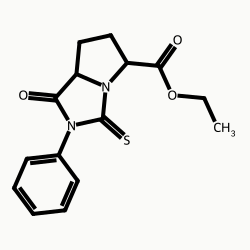 CCOC(=O)C1CCC2C(=O)N(c3ccccc3)C(=S)N12